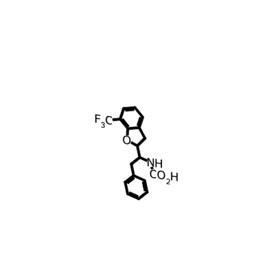 O=C(O)NC(Cc1ccccc1)C1Cc2cccc(C(F)(F)F)c2O1